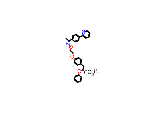 CC(=NOCCOc1ccc(CC(Oc2ccccc2)C(=O)O)cc1)c1ccc(-c2ccccn2)cc1